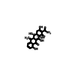 C=C1c2cccc(O)c2C(=O)C2=C(O)[C@]3(O)C(=O)C(C(N)=O)=C(O)CC3[C@@H](O)C12